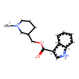 CCCCN1CCCC(COC(=O)c2c[nH]c3ccccc23)C1